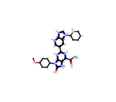 COC1CCC(n2c(=O)[nH]c3c(C(N)=O)nc(-c4cnc5ncn(C6CCCCO6)c5c4)nc32)CC1